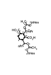 CCCCCCOC(C)OC(CCC)c1ccc(C(=O)O)c(C(CCC)OC(C)OCCCCCC)c1C(=O)O